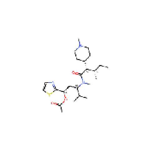 CC[C@H](C)[C@H](C(=O)N(C)[C@H](C[C@@H](OC(C)=O)c1nccs1)C(C)C)C1CCN(C)CC1